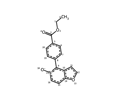 CCOC(=O)c1ccc(-c2c3ccoc3cc[n+]2[O-])cc1